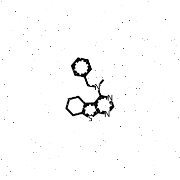 CN(Cc1ccccc1)c1ncnc2sc3c(c12)CCCC3